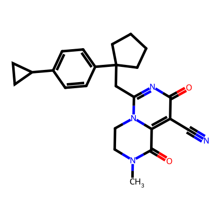 CN1CCn2c(CC3(c4ccc(C5CC5)cc4)CCCC3)nc(=O)c(C#N)c2C1=O